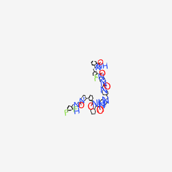 O=C(N[C@@H](C(=O)N1CCN(CC2CCN(CC(=O)N3CCN(C(=O)c4cc(Cc5n[nH]c(=O)c6ccccc56)ccc4F)CC3)CC2)CC1)C1CCCCC1)c1cccc(C2CCCN(C(=O)CNCc3ccc(F)cc3F)C2)c1